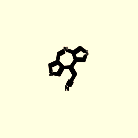 N#CC=C1c2cscc2C=Nc2cscc21